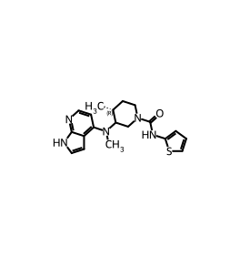 C[C@@H]1CCN(C(=O)Nc2cccs2)CC1N(C)c1ccnc2[nH]ccc12